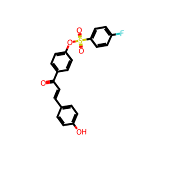 O=C(C=Cc1ccc(O)cc1)c1ccc(OS(=O)(=O)c2ccc(F)cc2)cc1